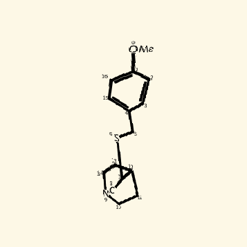 COc1ccc(CSC2CN3CCC2CC3)cc1